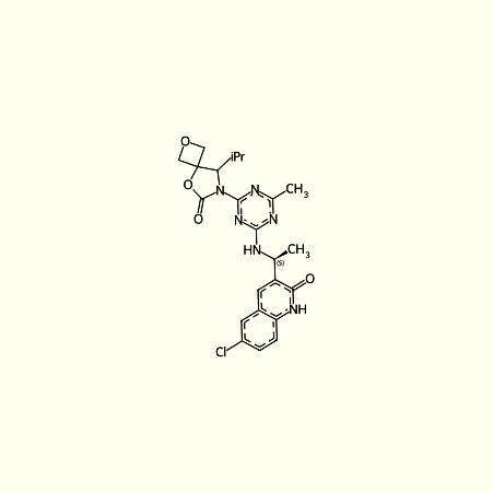 Cc1nc(N[C@@H](C)c2cc3cc(Cl)ccc3[nH]c2=O)nc(N2C(=O)OC3(COC3)C2C(C)C)n1